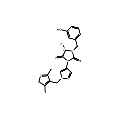 Cc1noc(C)c1Cn1cc(N2C(=O)[C@H](C(C)C)N(Cc3cccc(O)c3)C2=O)cn1